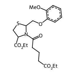 CCOC(=O)CCCC(=O)N1C(COc2ccccc2OC)SCC1C(=O)OCC